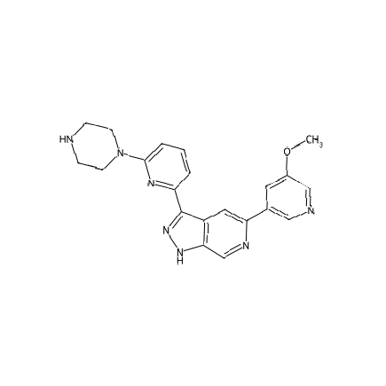 COc1cncc(-c2cc3c(-c4cccc(N5CCNCC5)n4)n[nH]c3cn2)c1